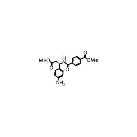 COC(=O)C[C@@H](NC(=O)c1ccc(C(=O)OC)cc1)c1ccc(N)cc1